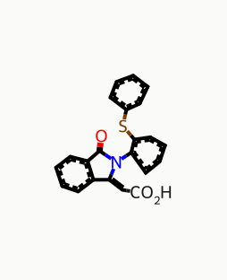 O=C(O)C=C1c2ccccc2C(=O)N1c1ccccc1Sc1ccccc1